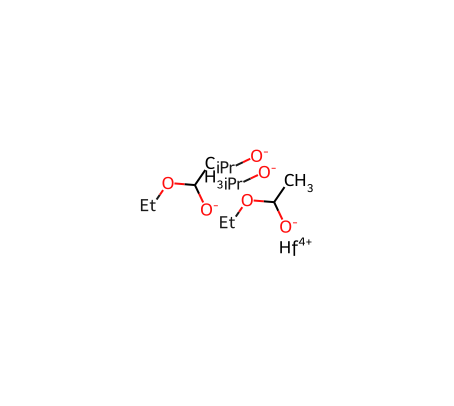 CC(C)[O-].CC(C)[O-].CCOC(C)[O-].CCOC(C)[O-].[Hf+4]